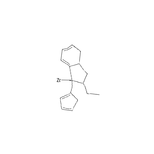 CCC1CC2CC=CC=C2[C]1([Zr])C1=CC=CC1